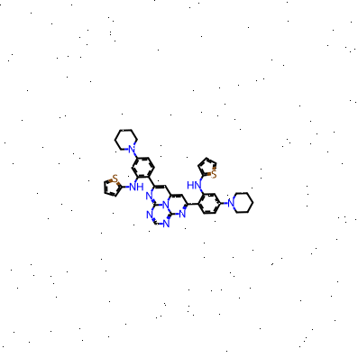 C1=NC2=NC(c3ccc(N4CCCCC4)cc3Nc3cccs3)=CC3=CC(c4ccc(N5CCCCC5)cc4Nc4cccs4)=NC(=N1)N32